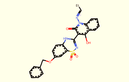 CC/C=N/n1c(=O)c(C2=NS(=O)(=O)c3cc(OCc4ccccc4)ccc3N2)c(O)c2ccccc21